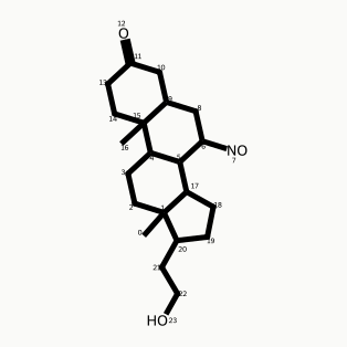 CC12CCC3C(C(N=O)CC4CC(=O)CCC43C)C1CCC2CCO